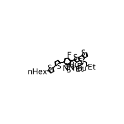 CCCCCCc1ccc(-c2ccc(-c3cc(F)c(-c4cc5c(s4)-c4sccc4[Si]5(CC(CC)CCCC)CC(CC)CCCC)c4nsnc34)s2)s1